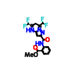 COC(=O)c1ccccc1NC(=O)c1cc2n(n1)[C@H](C(F)F)C[C@@H](C(F)F)N2